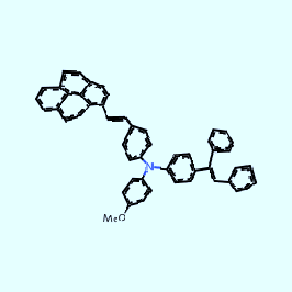 COc1ccc(N(c2ccc(C=Cc3ccc4ccc5cccc6ccc3c4c56)cc2)c2ccc(C(=Cc3ccccc3)c3ccccc3)cc2)cc1